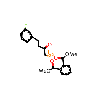 COC(=O)c1ccccc1C(=O)OC.O=C(CP)CCc1cccc(F)c1